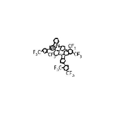 N#Cc1cccc(-n2c3ccccc3c3cc(-c4ccc(C(F)(F)F)cc4C(F)(F)F)ccc32)c1-c1cc(-c2ccc(C(F)(F)F)cc2C(F)(F)F)ccc1-n1c2ccccc2c2cc(-c3ccc(C(F)(F)F)cc3C(F)(F)F)ccc21